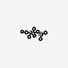 C1=CCC(c2cc(-c3ccccc3)nc(-c3cccc(-c4c(C5C=CC=CC5)n5nc(-c6ccc(-c7ccccc7)cc6)c(-c6ccccc6)c5c5ccccc45)c3)n2)C=C1